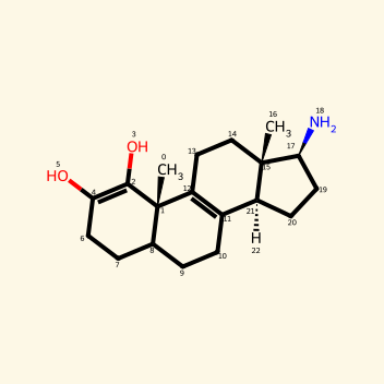 C[C@]12C(O)=C(O)CCC1CCC1=C2CC[C@]2(C)[C@@H](N)CC[C@@H]12